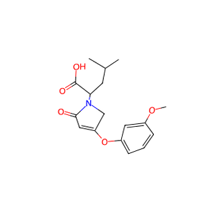 COc1cccc(OC2=CC(=O)N(C(CC(C)C)C(=O)O)C2)c1